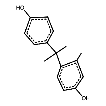 Cc1cc(O)ccc1C(C)(C)c1ccc(O)cc1